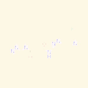 Cc1cc2n(n1)CC(C)CN2C(=O)CCC(=O)Nc1ccc(-c2cncc(F)c2)nn1